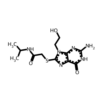 CC(C)NC(=O)CSc1nc2c(=O)[nH]c(N)nc2n1CCO